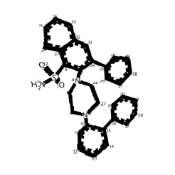 NS(=O)(=O)c1c(N2CCN(c3ccccc3-c3ccccc3)CC2)c(-c2ccccc2)cc2ccccc12